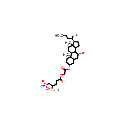 CC(CCC(=O)O)[C@H]1CCC2C3C(CC[C@@]21C)[C@@]1(C)CC[C@@H](OC(=O)COC(=O)CCC(CP(=O)(O)O)C(=O)O)CC1C[C@@H]3O